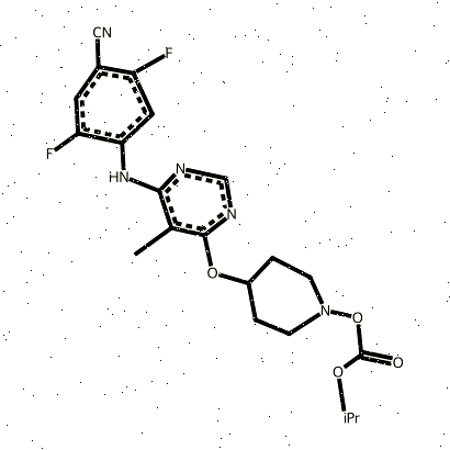 Cc1c(Nc2cc(F)c(C#N)cc2F)ncnc1OC1CCN(OC(=O)OC(C)C)CC1